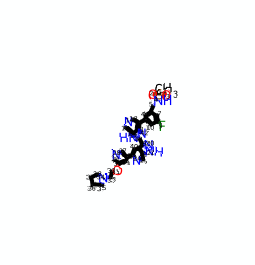 CS(=O)(=O)NCc1cc(F)cc(-c2cncc3[nH]c(-c4n[nH]c5cnc(-c6cncc(OCCN7CCCC7)c6)cc45)nc23)c1